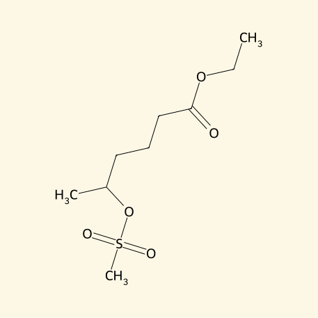 CCOC(=O)CCCC(C)OS(C)(=O)=O